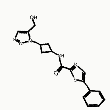 O=C(NC1CC(n2nncc2CO)C1)c1ncc(-c2ccccc2)s1